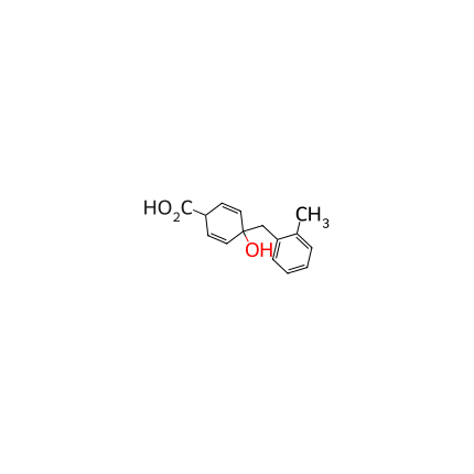 Cc1ccccc1CC1(O)C=CC(C(=O)O)C=C1